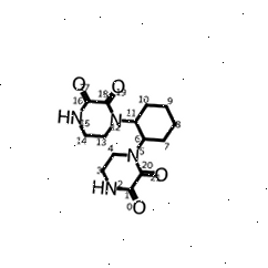 O=C1NCCN(C2CCCCC2N2CCNC(=O)C2=O)C1=O